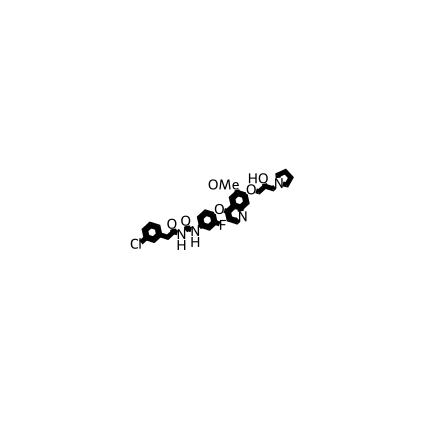 COc1cc2c(Oc3ccc(NC(=O)NC(=O)Cc4cccc(Cl)c4)cc3F)ccnc2cc1OCC(O)CN1CCCC1